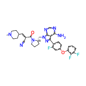 CN1CCC(C=C(C#N)C(=O)N2CCC[C@H]2Cn2nc(-c3ccc(Oc4cccc(F)c4F)cc3F)c3c(N)ncnc32)CC1